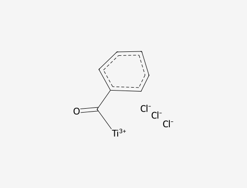 O=[C]([Ti+3])c1ccccc1.[Cl-].[Cl-].[Cl-]